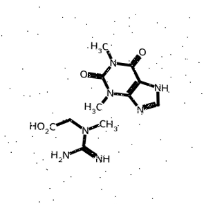 CN(CC(=O)O)C(=N)N.Cn1c(=O)c2[nH]cnc2n(C)c1=O